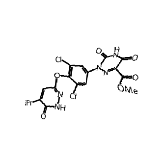 COC(=O)c1nn(-c2cc(Cl)c(Oc3cc(C(C)C)c(=O)[nH]n3)c(Cl)c2)c(=O)[nH]c1=O